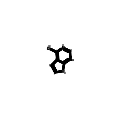 CCc1ncnc2occc12